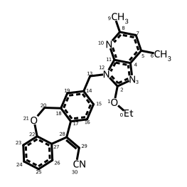 CCOc1nc2c(C)cc(C)nc2n1Cc1ccc2c(c1)COc1ccccc1/C2=C\C#N